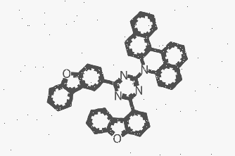 c1ccc2c3c(ccc2c1)N(c1nc(-c2ccc4oc5ccccc5c4c2)nc(-c2cccc4oc5ccccc5c24)n1)c1cccc2cccc-3c12